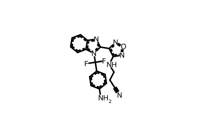 N#CCCNc1nonc1-c1nc2ccccc2n1C(F)(F)c1ccc(N)cc1